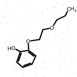 CCCOCCOc1ccccc1O